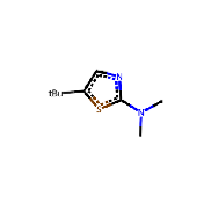 CN(C)c1ncc(C(C)(C)C)s1